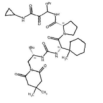 CCCC(NC(=O)[C@@H]1CCCN1C(=O)[C@@H](NC(=O)N[C@H](CN1C(=O)CC(C)(C)CC1=O)C(C)(C)C)C1(C)CCCCC1)C(=O)C(=O)NC1CC1